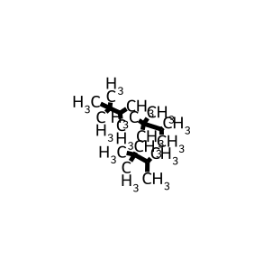 CC(C)C(C)(C)C.CC(C)C(C)(C)C.CC(C)C(C)(C)C